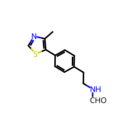 Cc1ncsc1-c1ccc(CCNC=O)cc1